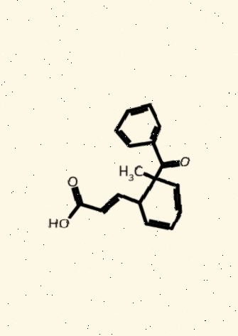 CC1(C(=O)c2ccccc2)C=CC=CC1/C=C/C(=O)O